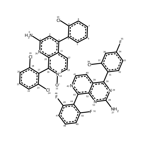 Nc1cc(-c2ccccc2Cl)c2cc[n+]([O-])c(-c3c(Cl)cccc3Cl)c2n1.Nc1nc(-c2ccc(F)cc2Cl)c2ccnc(-c3c(F)cccc3F)c2n1